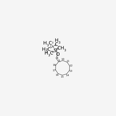 CC(C)(C)[Si](C)(C)OC[C]1CCCCCCCCC1